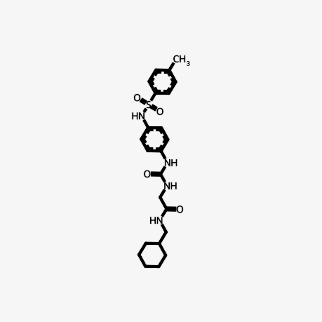 Cc1ccc(S(=O)(=O)Nc2ccc(NC(=O)NCC(=O)NCC3CCCCC3)cc2)cc1